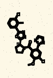 COc1cc(C(=O)N2CCC[C@H]2c2nnc(-c3cccc(Cl)c3C)o2)c(-n2nccn2)cc1Cl